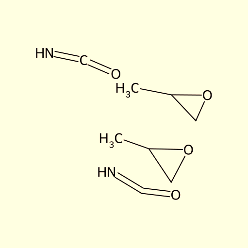 CC1CO1.CC1CO1.N=C=O.N=C=O